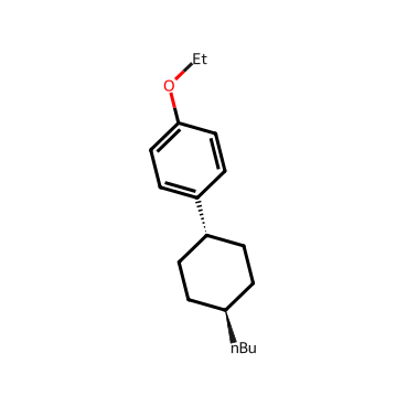 CCCC[C@H]1CC[C@H](c2ccc(OCC)cc2)CC1